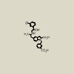 CC(Cc1ccc2c(c1)cc(C(=O)O)n2Cc1cccc(C(=O)O)c1)NC[C@H](O)c1cccc(Cl)c1